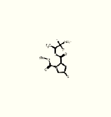 CC(C)(C)OC(=O)N1CC(F)CC1C(=O)OC(C(F)(F)F)C(F)(F)S(=O)(=O)O